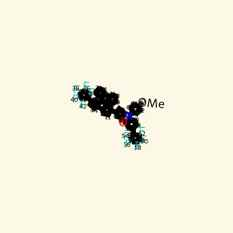 COc1ccc(N2c3ccc(-c4ccc5c(c4)C4(c6ccccc6-c6ccccc64)c4cc(-c6c(F)c(F)c(F)c(F)c6F)ccc4-5)cc3Oc3cc(-c4c(F)c(F)c(F)c(F)c4F)ccc32)cc1